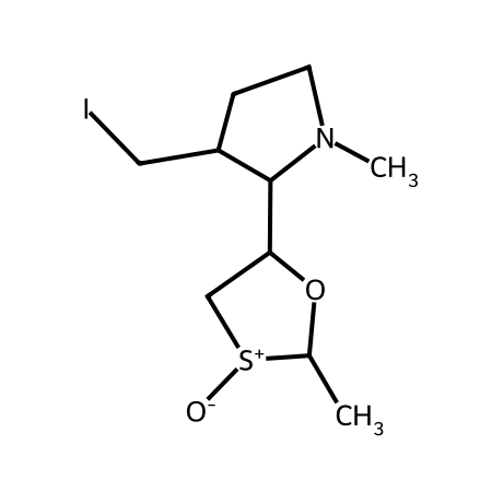 CC1OC(C2C(CI)CCN2C)C[S+]1[O-]